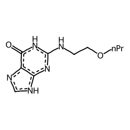 CCCOCCNc1nc2[nH]cnc2c(=O)[nH]1